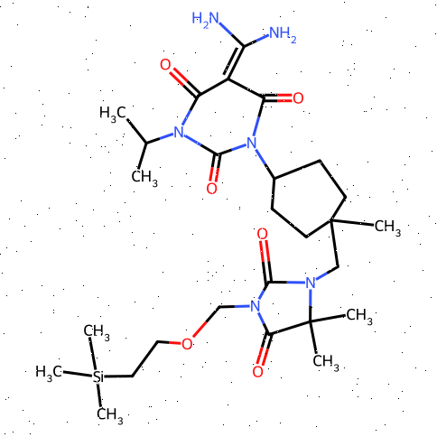 CC(C)N1C(=O)C(=C(N)N)C(=O)N(C2CCC(C)(CN3C(=O)N(COCC[Si](C)(C)C)C(=O)C3(C)C)CC2)C1=O